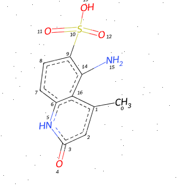 Cc1cc(=O)[nH]c2ccc(S(=O)(=O)O)c(N)c12